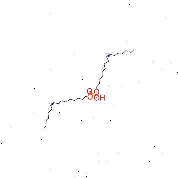 CCCCCC/C=C\CCCCCCCCOP(=O)(O)OCCCCCCCC/C=C\CCCCCC